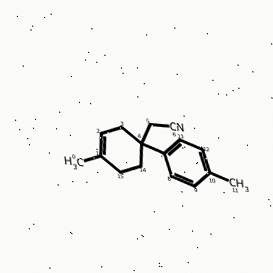 CC1=CCC(CC#N)(c2ccc(C)cc2)CC1